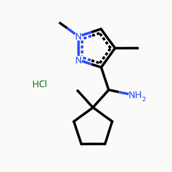 Cc1cn(C)nc1C(N)C1(C)CCCC1.Cl